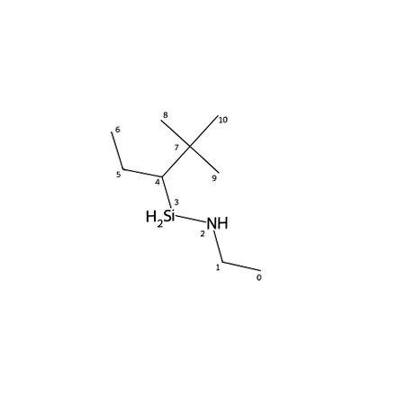 CCN[SiH2]C(CC)C(C)(C)C